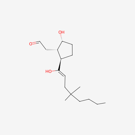 CCCCC(C)(C)CC=C(O)[C@@H]1CC[C@@H](O)[C@H]1CC=O